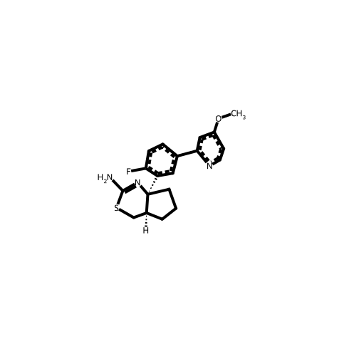 COc1ccnc(-c2ccc(F)c([C@]34CCC[C@H]3CSC(N)=N4)c2)c1